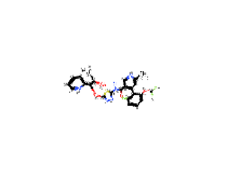 Cc1cc(-c2c(F)cccc2OC(F)F)c(C(=O)Nc2nnc(OC(c3ccccn3)[C@@H](C)O)s2)cn1